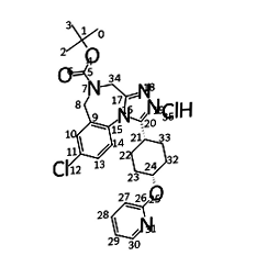 CC(C)(C)OC(=O)N1Cc2cc(Cl)ccc2-n2c(nnc2[C@H]2CC[C@@H](Oc3ccccn3)CC2)C1.Cl